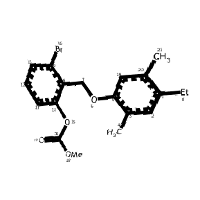 CCc1cc(C)c(OCc2c(Br)cccc2OC(=O)OC)cc1C